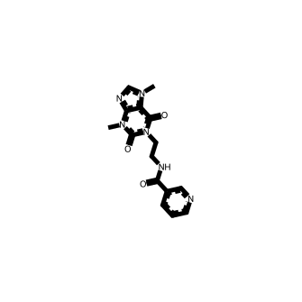 Cn1cnc2c1c(=O)n(CCNC(=O)c1cccnc1)c(=O)n2C